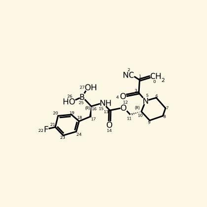 C=C(C#N)C(=O)N1CCCC[C@@H]1COC(=O)N[C@@H](Cc1ccc(F)cc1)B(O)O